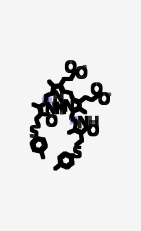 COC(=O)CCc1c(Cc2[nH]c(/C=C3\NC(=O)C(CCSc4ccc(C)cc4)=C3C)c(C)c2CCC(=O)OC)[nH]c(/C=C2\NC(=O)C(CCSc3ccc(C)cc3)=C2C)c1C